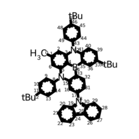 Cc1cc2c3c(c1)N(c1ccc(C(C)(C)C)cc1)c1cc(-n4c5ccccc5c5ccccc54)ccc1B3c1cc(C(C)(C)C)ccc1N2c1ccc(C(C)(C)C)cc1